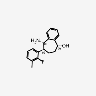 Cc1cccc([C@@H]2CC[C@@H](O)c3ccccc3[C@H]2N)c1F